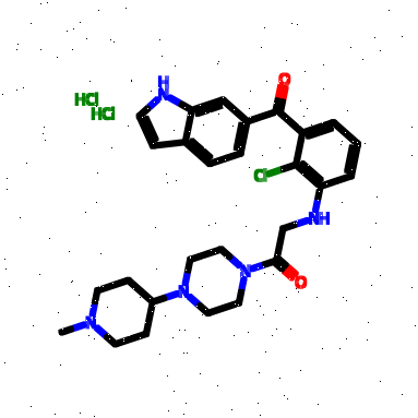 CN1CCC(N2CCN(C(=O)CNc3cccc(C(=O)c4ccc5cc[nH]c5c4)c3Cl)CC2)CC1.Cl.Cl